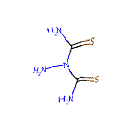 NC(=S)N(N)C(N)=S